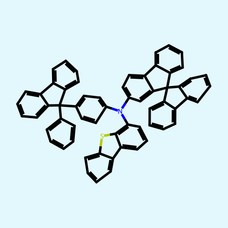 c1ccc(C2(c3ccc(N(c4ccc5c(c4)C4(c6ccccc6-c6ccccc64)c4ccccc4-5)c4cccc5c4sc4ccccc45)cc3)c3ccccc3-c3ccccc32)cc1